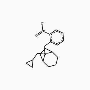 O=[N+]([O-])c1ccccc1C[N+]1(CC2CC2)C2C[CH]CC1CC2